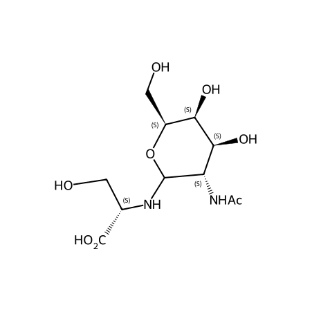 CC(=O)N[C@@H]1C(N[C@@H](CO)C(=O)O)O[C@@H](CO)[C@@H](O)[C@H]1O